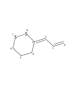 C=CC=C1CCCSS1